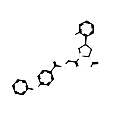 Cc1ccccc1C1C[C@@H](C(=O)O)N(C(=O)CNC(=O)c2ccc(Oc3ccccc3)cc2)C1